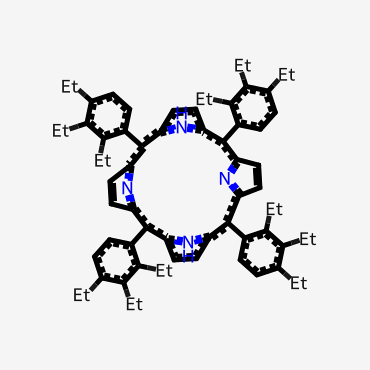 CCc1ccc(-c2c3nc(c(-c4ccc(CC)c(CC)c4CC)c4ccc([nH]4)c(-c4ccc(CC)c(CC)c4CC)c4nc(c(-c5ccc(CC)c(CC)c5CC)c5ccc2[nH]5)C=C4)C=C3)c(CC)c1CC